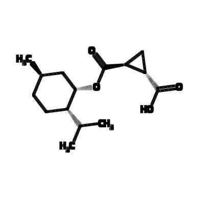 CC(C)[C@@H]1CC[C@@H](C)C[C@@H]1OC(=O)[C@H]1C[C@@H]1C(=O)O